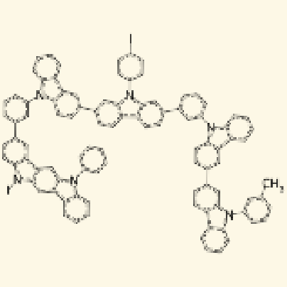 Cc1cccc(-n2c3ccccc3c3ccc(-c4ccc5c(c4)c4ccccc4n5-c4cccc(-c5ccc6c7ccc(-c8ccc9c(c8)c8ccccc8n9-c8cccc(-c9ccc%10c(c9)c9cc%11c(cc9n%10I)c9ccccc9n%11-c9ccccc9)c8)cc7n(-c7ccc(I)cc7)c6c5)c4)cc32)c1